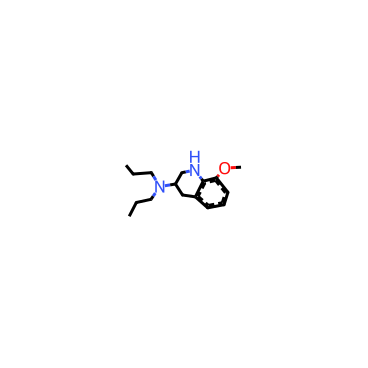 CCCN(CCC)C1CNc2c(cccc2OC)C1